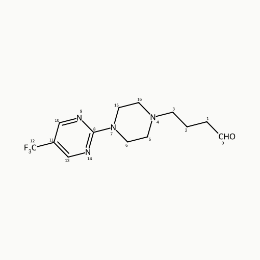 O=CCCCN1CCN(c2ncc(C(F)(F)F)cn2)CC1